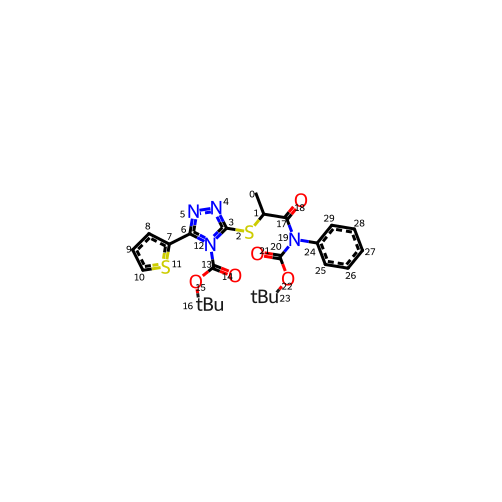 CC(Sc1nnc(-c2cccs2)n1C(=O)OC(C)(C)C)C(=O)N(C(=O)OC(C)(C)C)c1ccccc1